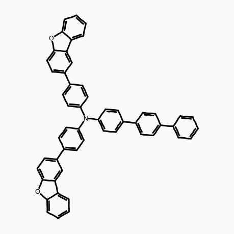 c1ccc(-c2ccc(-c3ccc(N(c4ccc(-c5ccc6oc7ccccc7c6c5)cc4)c4ccc(-c5ccc6oc7ccccc7c6c5)cc4)cc3)cc2)cc1